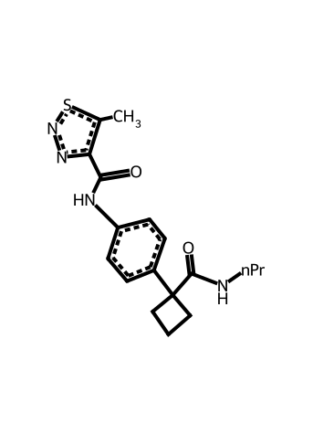 CCCNC(=O)C1(c2ccc(NC(=O)c3nnsc3C)cc2)CCC1